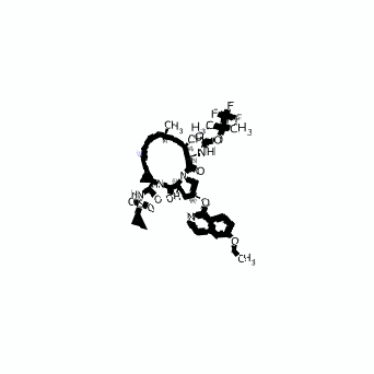 CCOc1ccc2c(O[C@@H]3C[C@H]4C(=O)N[C@]5(C(=O)NS(=O)(=O)C6CC6)CC5/C=C\CC[C@@H](C)C[C@@H](C)[C@H](NC(=O)OC(C)(C)C(F)(F)F)C(=O)N4C3)nccc2c1